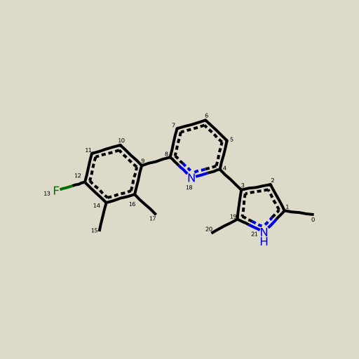 Cc1cc(-c2cccc(-c3ccc(F)c(C)c3C)n2)c(C)[nH]1